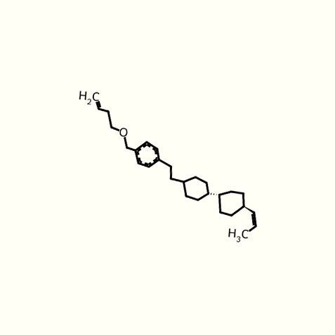 C=CCCOCc1ccc(CCC2CCC([C@H]3CC[C@H](/C=C\C)CC3)CC2)cc1